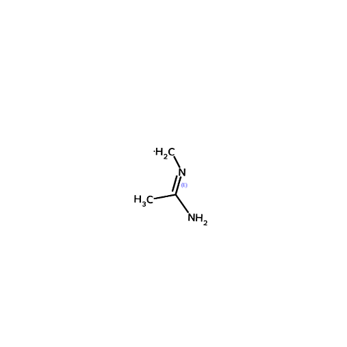 [CH2]/N=C(\C)N